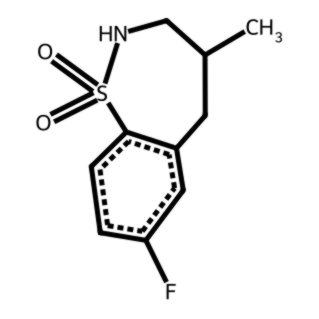 CC1CNS(=O)(=O)c2ccc(F)cc2C1